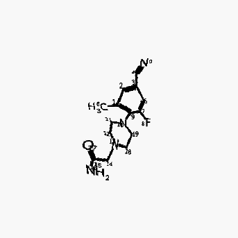 Cc1cc(C#N)cc(F)c1N1CCN(CC(N)=O)CC1